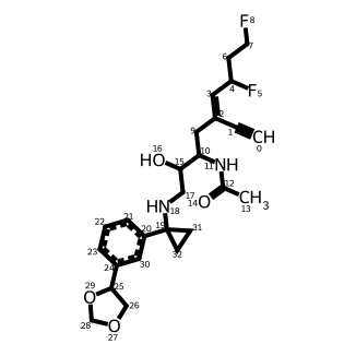 C#C/C(=C\C(F)CCF)CC(NC(C)=O)C(O)CNC1(c2cccc(C3COCO3)c2)CC1